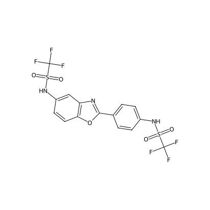 O=S(=O)(Nc1ccc(-c2nc3cc(NS(=O)(=O)C(F)(F)F)ccc3o2)cc1)C(F)(F)F